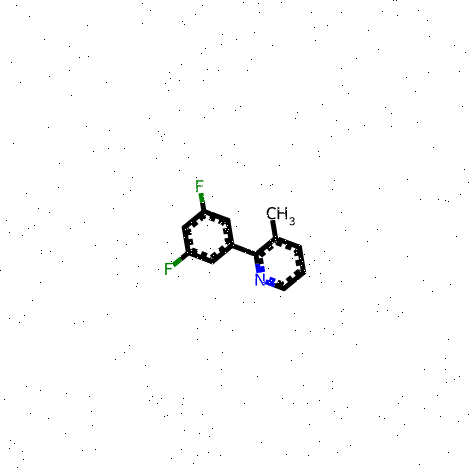 Cc1cccnc1-c1cc(F)cc(F)c1